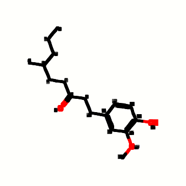 CCCC(C)CCC(=O)CCc1ccc(O)c(OC)c1